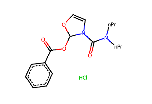 CCCN(CCC)C(=O)N1C=COC1OC(=O)c1ccccc1.Cl